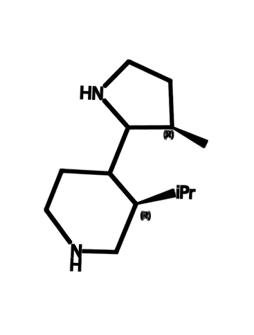 CC(C)[C@H]1CNCCC1C1NCC[C@H]1C